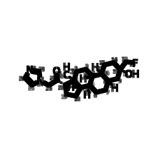 C[C@]12CC[C@H]3[C@@H](CC[C@@H]4C[C@](O)(CF)CC[C@@H]43)[C@@H]1CC[C@@H]2C(=O)Cn1ccnc1